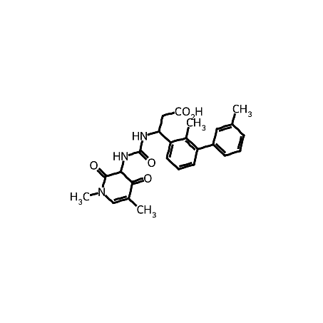 CC1=CN(C)C(=O)C(NC(=O)NC(CC(=O)O)c2cccc(-c3cccc(C)c3)c2C)C1=O